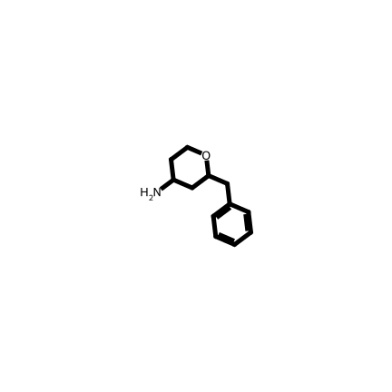 NC1CCOC(Cc2ccccc2)C1